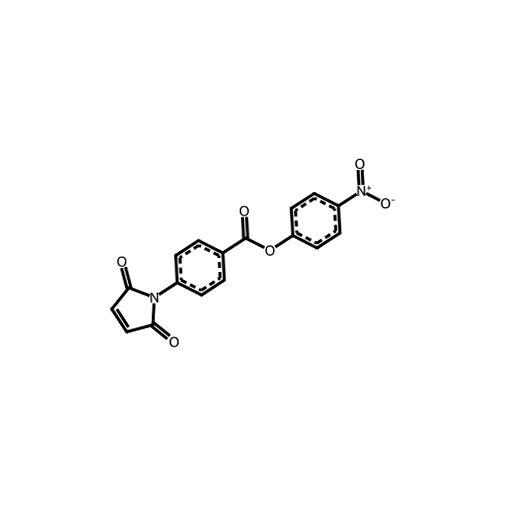 O=C(Oc1ccc([N+](=O)[O-])cc1)c1ccc(N2C(=O)C=CC2=O)cc1